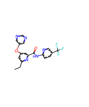 CCc1cc(Oc2cncnc2)cc(C(=O)Nc2ccc(C(F)(F)F)cn2)n1